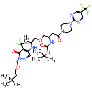 CC(COCC(CC(=O)N1CCN(c2ncc(C(F)(F)F)cn2)CC1)NC(=O)OC(C)(C)C)Nc1cnn(COCC[Si](C)(C)C)c(=O)c1C(F)(F)F